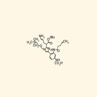 C=CCCC(=O)Nc1cc(NC(=O)O)ccc1-c1cn(COCC[Si](C)(C)C)c(C(CC=CN)C(=O)OC(C)(C)C)n1